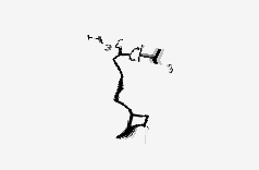 CC(C)CCCC1C[CH]C1